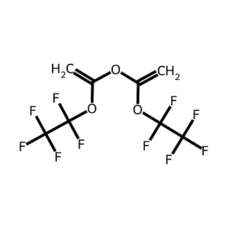 C=C(OC(=C)OC(F)(F)C(F)(F)F)OC(F)(F)C(F)(F)F